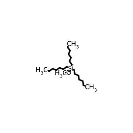 CCCCCCC[Si](CCCCCCC)(CCCCCCC)OC